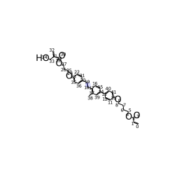 C=CC(=O)OCCCCOc1ccc(-c2ccc(/C=C/c3ccc(OCCCOC(=O)C(=C)CO)cc3)c(C)c2)cc1